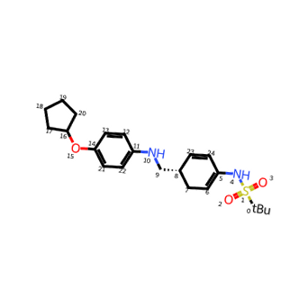 CC(C)(C)S(=O)(=O)NC1=CC[C@H](CNc2ccc(OC3CCCC3)cc2)C=C1